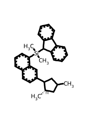 CC1CC(c2ccc3cccc([Si](C)(C)C4c5ccccc5-c5ccccc54)c3c2)[C@@H](C)C1